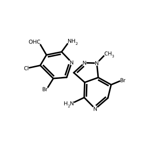 Cn1ncc2c(N)ncc(Br)c21.Nc1ncc(Br)c(Cl)c1C=O